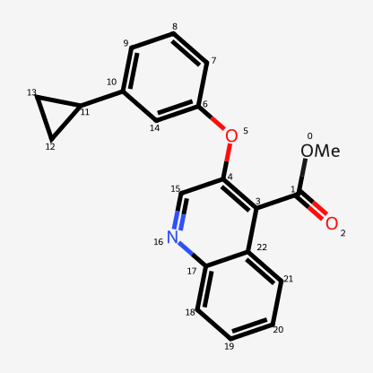 COC(=O)c1c(Oc2cccc(C3CC3)c2)cnc2ccccc12